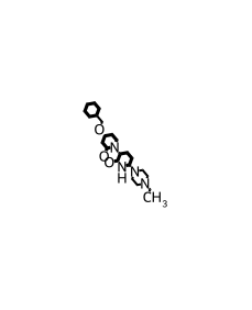 CCN1CCN(c2ccc(-n3ccc(OCc4ccccc4)cc3=O)c(=O)[nH]2)CC1